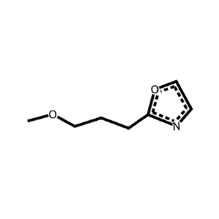 COCCCc1ncco1